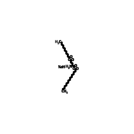 CCCCCCCCCCCCCCCC(=O)OC(=O)[C@@H](N)CCC(=O)OC(=O)CCCCCCCCCCC.[NaH]